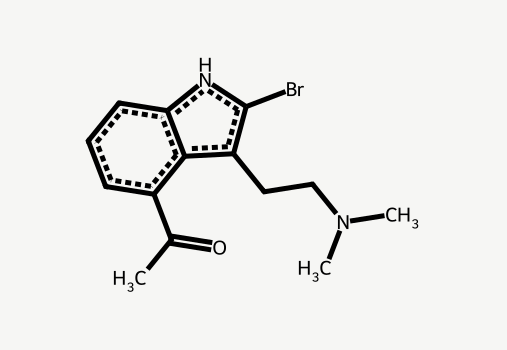 CC(=O)c1cccc2[nH]c(Br)c(CCN(C)C)c12